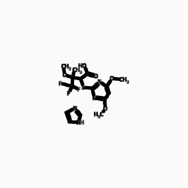 COc1cc(OC)nc(SC(C(=O)O)C(C)(OC)C(F)(F)F)n1.c1c[nH]cn1